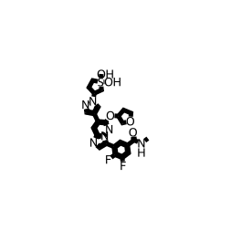 CNC(=O)c1cc(F)c(F)c(-c2cnc3cc(-c4cnn(C5CCS(O)(O)C5)c4)c(OC4CCOC4)nn23)c1